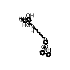 O=C(Nc1ccccc1C1CCCCC1)OC1CCN(CCCCCCCCCNCC(O)c2ccc(O)c3[nH]c(=O)ccc23)CC1